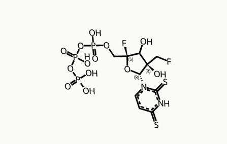 O=P(O)(O)OP(=O)(O)OP(=O)(O)OC[C@@]1(F)O[C@@H](n2ccc(=S)[nH]c2=S)[C@@](O)(CF)C1O